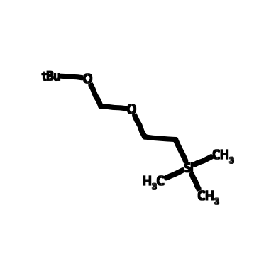 CC(C)(C)OCOCC[Si](C)(C)C